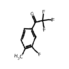 Cc1ccc(C(=O)C(F)(F)F)cc1F